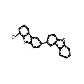 Clc1cccc2c1sc1ccc(-c3ccc4sc5ccccc5c4c3)cc12